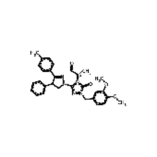 COc1ccc(Cn2nc(N3CC(c4ccccc4)C(c4ccc(C)cc4)=N3)n([C@@H](C)C=O)c2=O)cc1OC